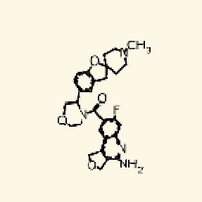 CN1CCC2(CC1)Cc1cc(C3COCCN3C(=O)c3cc4c5c(c(N)nc4cc3F)COC5)ccc1O2